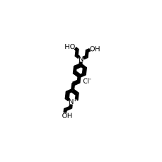 OCCN(CCO)c1ccc(/C=C/c2cc[n+](CCO)cc2)cc1.[Cl-]